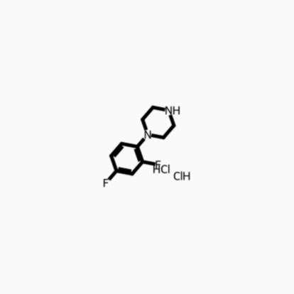 Cl.Cl.Fc1ccc(N2CCNCC2)c(F)c1